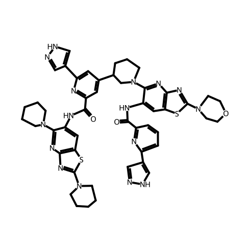 O=C(Nc1cc2sc(N3CCCCC3)nc2nc1N1CCCCC1)c1cc(C2CCCN(c3nc4nc(N5CCOCC5)sc4cc3NC(=O)c3cccc(-c4cn[nH]c4)n3)C2)cc(-c2cn[nH]c2)n1